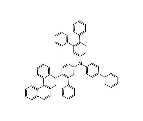 c1ccc(-c2ccc(N(c3ccc(-c4ccccc4)c(-c4ccccc4)c3)c3ccc(-c4cc5ccc6ccccc6c5c5ccccc45)c(-c4ccccc4)c3)cc2)cc1